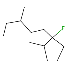 CCC(C)CCC(F)(CC)C(C)C